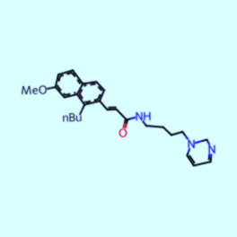 CCCCc1c(C=CC(=O)NCCCCN2C=CC=NC2)ccc2ccc(OC)cc12